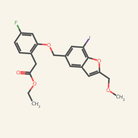 CCOC(=O)Cc1ccc(F)cc1OCc1cc(I)c2oc(COC)cc2c1